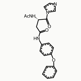 CC(=O)N[C@@H](CC(=O)Nc1ccc(Oc2ccccc2)cc1)C(=O)n1ccnc1